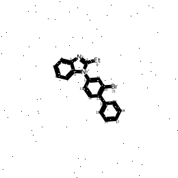 CCc1nc2ccccc2n1-c1ccc(-c2ccccc2)c(Br)c1